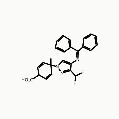 CC1(n2cc(N=C(c3ccccc3)c3ccccc3)c(C(F)F)n2)C=CC(C(=O)O)C=C1